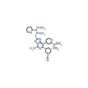 CN(C)c1cc(-c2c(-c3cccc(C#N)c3)nc(N)n3nc(CN(N)/C(=N\N)c4ccccn4)nc23)ccn1